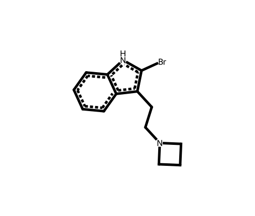 Brc1[nH]c2ccccc2c1CCN1CCC1